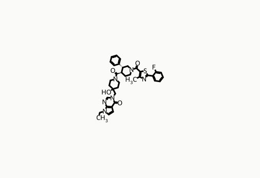 CCn1ccc2c(=O)n(CC3(O)CCN(C(=O)[C@@H]4CCN(C(=O)c5sc(-c6ccccc6F)nc5C)C[C@H]4c4ccccc4)CC3)cnc21